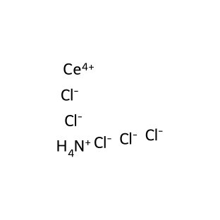 [Ce+4].[Cl-].[Cl-].[Cl-].[Cl-].[Cl-].[NH4+]